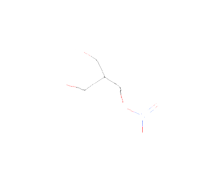 O=[N+]([O-])OCC(CO)CO